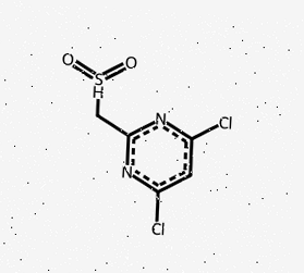 O=[SH](=O)Cc1nc(Cl)cc(Cl)n1